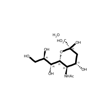 CC(=O)N[C@H]1[C@H]([C@H](O)[C@H](O)CO)O[C@](O)(C(=O)O)C[C@@H]1O.O